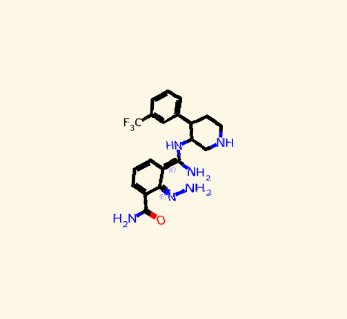 N/N=C1/C(C(N)=O)=CC=C/C1=C(/N)NC1CNCCC1c1cccc(C(F)(F)F)c1